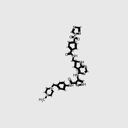 CN1CCN(Cc2ccc(NC(=O)c3n[nH]cc3Nc3ncnc4[nH]c(CNC(=O)c5ccc(S(=O)(=O)n6cncn6)cc5)cc34)cc2)CC1